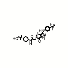 Cn1nc(Nc2ccc(C(F)(F)F)cc2)c2ncn(CC(=O)N[C@H]3CC[C@H](C(C)(C)CO)CC3)c(=O)c21